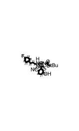 CC(C)(C)OC(=O)Nc1sc2c(c1S(=O)(=O)NCCCc1ccc(F)cc1)C(C#N)CCC2O